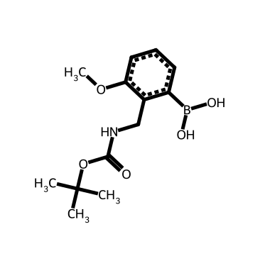 COc1cccc(B(O)O)c1CNC(=O)OC(C)(C)C